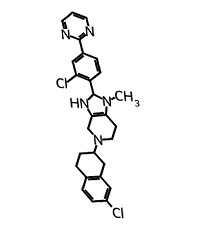 CN1C2=C(CN(C3CCc4ccc(Cl)cc4C3)CC2)NC1c1ccc(-c2ncccn2)cc1Cl